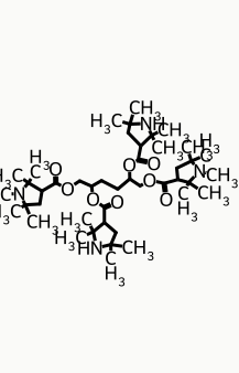 CN1C(C)(C)CC(C(=O)OCC(CCC(COC(=O)C2CC(C)(C)N(C)C2(C)C)OC(=O)C2CC(C)(C)NC2(C)C)OC(=O)C2CC(C)(C)NC2(C)C)C1(C)C